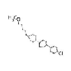 COCCCCC[C@H]1CC[C@H](c2ccc(-c3ccc(Cl)cc3)cc2)CC1